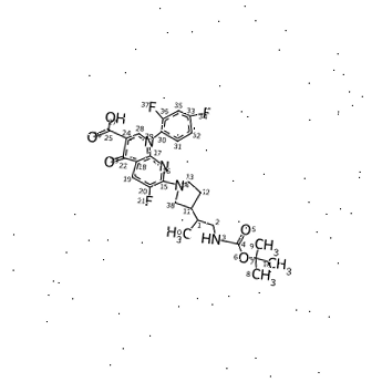 CC(CNC(=O)OC(C)(C)C)C1CCN(c2nc3c(cc2F)c(=O)c(C(=O)O)cn3-c2ccc(F)cc2F)C1